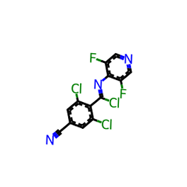 N#Cc1cc(Cl)c(/C(Cl)=N/c2c(F)cncc2F)c(Cl)c1